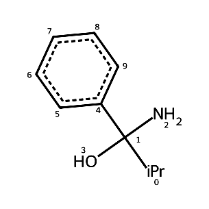 CC(C)C(N)(O)c1ccccc1